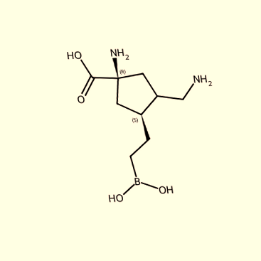 NCC1C[C@@](N)(C(=O)O)C[C@@H]1CCB(O)O